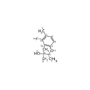 Cc1ccc(OC(C)C(C)(C)O)cc1F